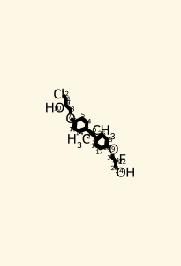 CC(C)(c1ccc(OC[C@H](O)CCl)cc1)c1ccc(OC[C@H](F)CO)cc1